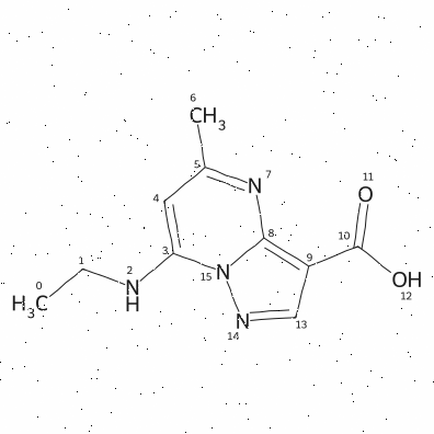 CCNc1cc(C)nc2c(C(=O)O)cnn12